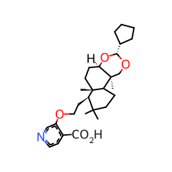 CC1(C)CCC2[C@]3(C)CO[C@@H](C4CCCC4)O[C@@H]3CC[C@@]2(C)[C@@H]1CCOc1cnccc1C(=O)O